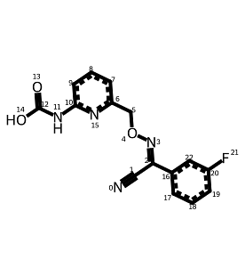 N#CC(=NOCc1cccc(NC(=O)O)n1)c1cccc(F)c1